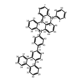 c1ccc(N2c3ccccc3B3c4ccccc4N(c4ccc(-c5ccc6c7ccccc7c7ccccc7c6c5)cc4)c4cccc2c43)cc1